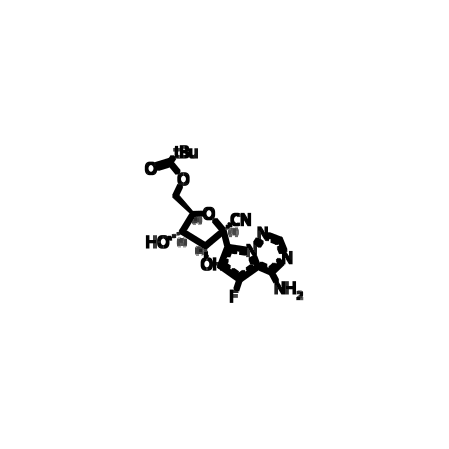 CC(C)(C)C(=O)OC[C@H]1O[C@@](C#N)(c2cc(F)c3c(N)ncnn23)[C@H](O)[C@@H]1O